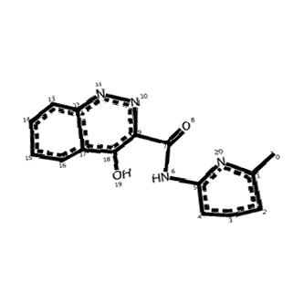 Cc1cccc(NC(=O)c2nnc3ccccc3c2O)n1